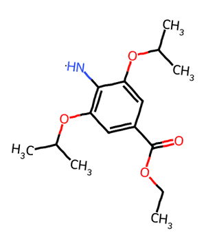 CCOC(=O)c1cc(OC(C)C)c([NH])c(OC(C)C)c1